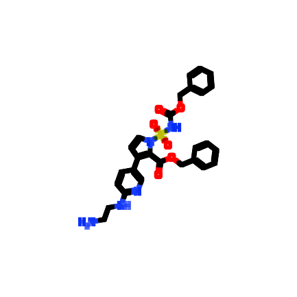 NCCNc1ccc(-c2ccn(S(=O)(=O)NC(=O)OCc3ccccc3)c2C(=O)OCc2ccccc2)cn1